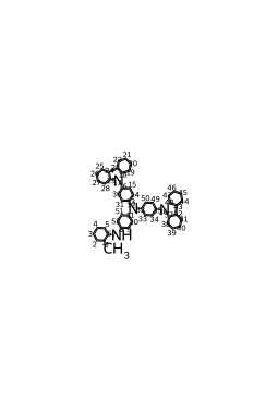 Cc1ccccc1Nc1ccc(N(c2ccc(-n3c4ccccc4c4ccccc43)cc2)c2ccc(-n3c4ccccc4c4ccccc43)cc2)cc1